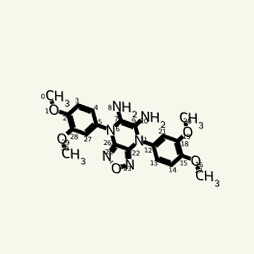 COc1ccc(N2C(N)=C(N)N(c3ccc(OC)c(OC)c3)c3nonc32)cc1OC